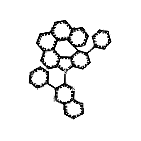 c1ccc(-c2ccc3c4c2-c2cccc5ccc6ccc7ccc(c4c7c6c25)n3-c2nc3ccccc3nc2-c2ccccc2)cc1